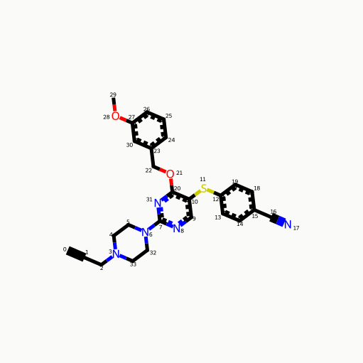 C#CCN1CCN(c2ncc(Sc3ccc(C#N)cc3)c(OCc3cccc(OC)c3)n2)CC1